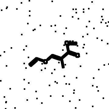 C=COC=C(C)C(=O)OC